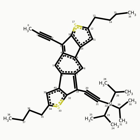 CC#CC1=c2cc3c(cc2-c2cc(CCCC)sc21)=C(C#C[Si](C(C)C)(C(C)C)C(C)C)c1sc(CCCC)cc1-3